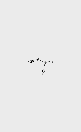 CN(O)C=S